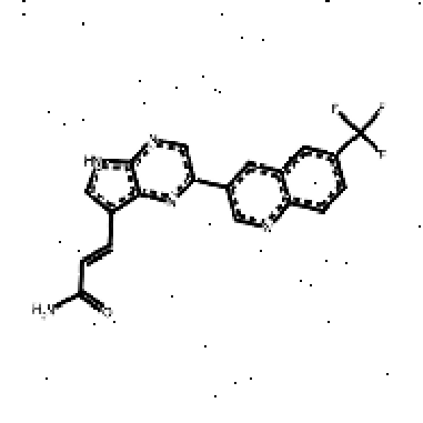 NC(=O)C=Cc1c[nH]c2ncc(-c3cnc4ccc(C(F)(F)F)cc4c3)nc12